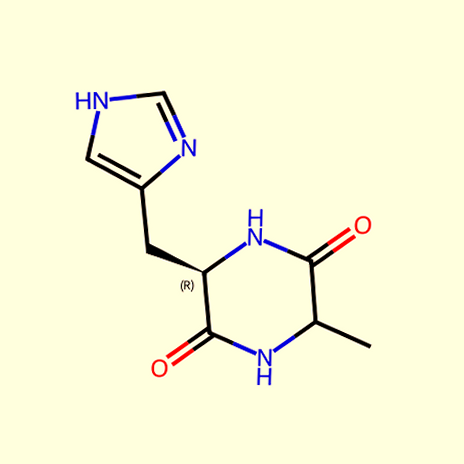 CC1NC(=O)[C@@H](Cc2c[nH]cn2)NC1=O